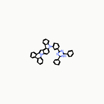 c1ccc(C2=NC(c3cccc(-n4c5ccccc5c5c6cc7c8ccccc8c8ccccc8n7c6ccc54)c3)=NC(c3ccccc3)N2)cc1